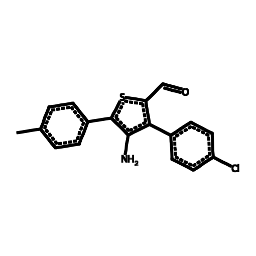 Cc1ccc(-c2sc(C=O)c(-c3ccc(Cl)cc3)c2N)cc1